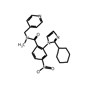 CN(Cc1ccncc1)C(=O)c1ccc([N+](=O)[O-])cc1-n1ccnc1C1CCCCC1